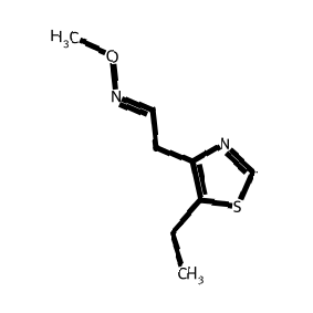 CCc1s[c]nc1CC=NOC